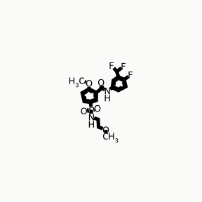 COCCNS(=O)(=O)c1ccc(OC)c(C(=O)Nc2ccc(F)c(C(F)F)c2)c1